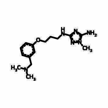 CN(C)Cc1cccc(OCCCNc2nc(N)n(C)n2)c1